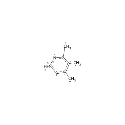 Cc1ccnc(C)c1C.[HH]